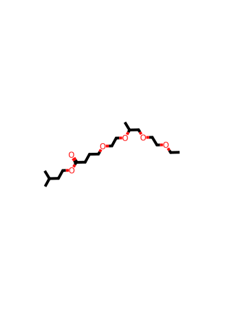 CCOCCOCC(C)OCCOCCCC(=O)OCCC(C)C